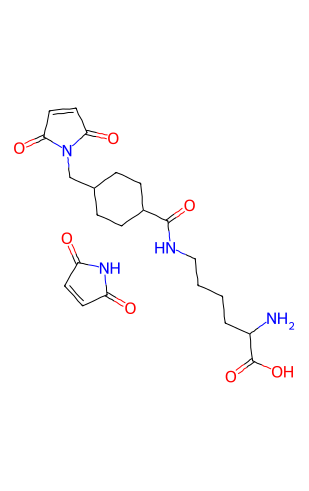 NC(CCCCNC(=O)C1CCC(CN2C(=O)C=CC2=O)CC1)C(=O)O.O=C1C=CC(=O)N1